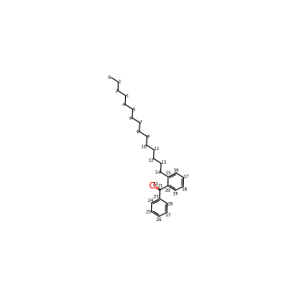 CCCCCCCCCCCCCCCc1ccccc1C(=O)c1ccccc1